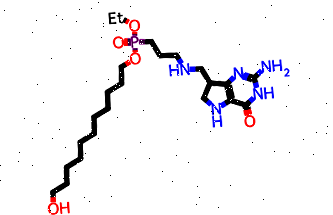 CCOP(=O)(CCCNCC1CNc2c1nc(N)[nH]c2=O)OCCCCCCCCCCCO